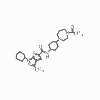 CC(=O)N1CCCN(C2CCC(NC(=O)c3cc4c(C)nn(C5CCCCC5)c4s3)CC2)CC1